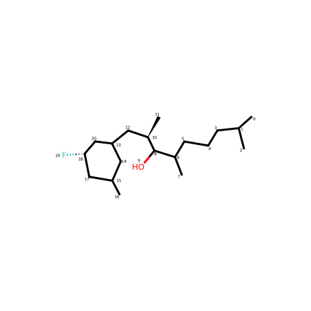 CC(C)CCCC(C)C(O)[C@H](C)CC1CC(C)C[C@H](F)C1